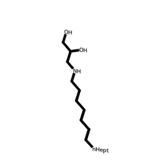 CCCCCCCCCCCCCCNCC(O)CO